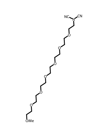 COCCOCCOCCOCCOCCOCCOCCN(C#N)C#N